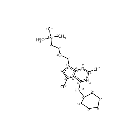 C[Si](C)(C)CCOCn1cc(Cl)c2c(NC3CCCCC3)nc(Cl)nc21